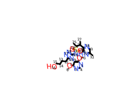 COc1ncnc(OC)c1-n1c(CCCCO)nnc1NS(=O)(=O)C(C)C(C)c1cnc(C)cn1